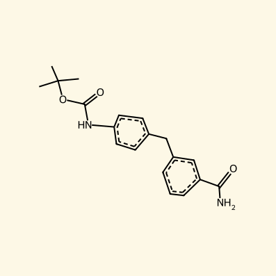 CC(C)(C)OC(=O)Nc1ccc(Cc2cccc(C(N)=O)c2)cc1